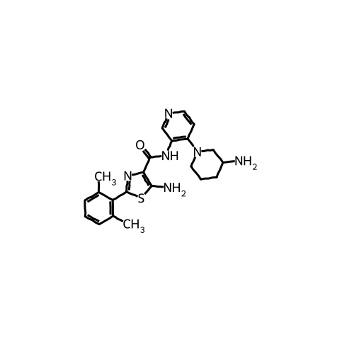 Cc1cccc(C)c1-c1nc(C(=O)Nc2cnccc2N2CCCC(N)C2)c(N)s1